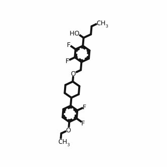 CCCC(O)c1ccc(COC2CCC(c3ccc(OCC)c(F)c3F)CC2)c(F)c1F